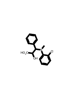 CN(c1ccccc1Cl)C(c1ccccc1)C(O)C(=O)O